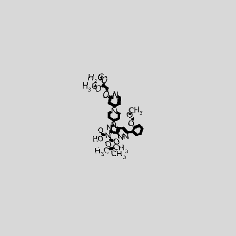 COCOc1ccccc1-c1cc2c(nn1)c(N(C(=O)O)C(=O)OC(C)(C)C)nn2C1CCN(c2ccnc(OCC(OC)OC)c2)CC1